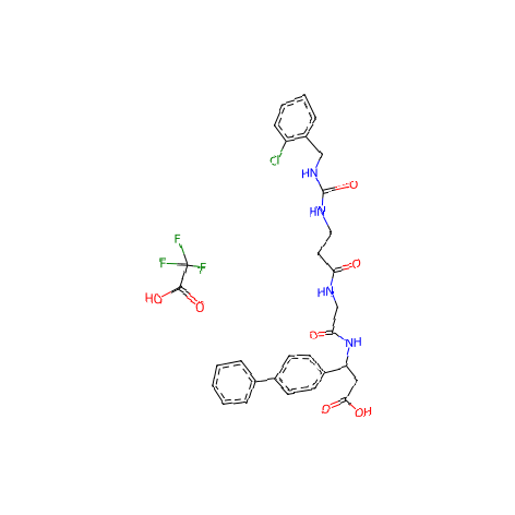 O=C(O)C(F)(F)F.O=C(O)CC(NC(=O)CNC(=O)CCNC(=O)NCc1ccccc1Cl)c1ccc(-c2ccccc2)cc1